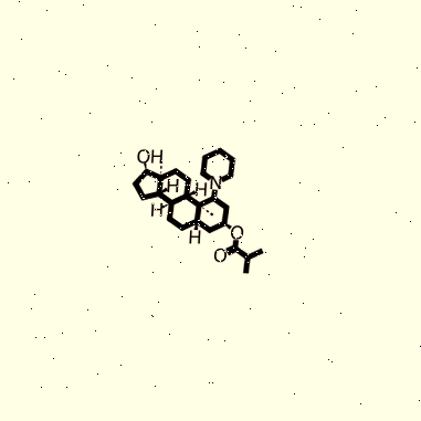 CC(C)C(=O)O[C@@H]1CC(N2CCCCC2)[C@@]2(C)[C@@H](CC[C@H]3[C@@H]4CC[C@H](O)[C@@]4(C)CC[C@@H]32)C1